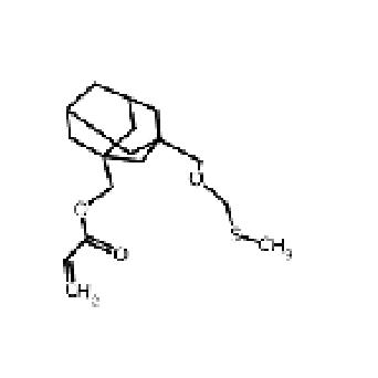 C=CC(=O)OCC12CC3CC(CC(COCSC)(C3)C1)C2